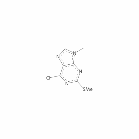 CSc1nc(Cl)c2ncn(C)c2n1